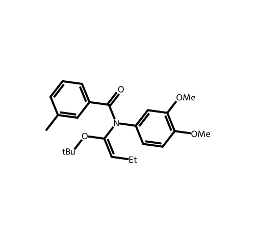 CC/C=C(/OC(C)(C)C)N(C(=O)c1cccc(C)c1)c1ccc(OC)c(OC)c1